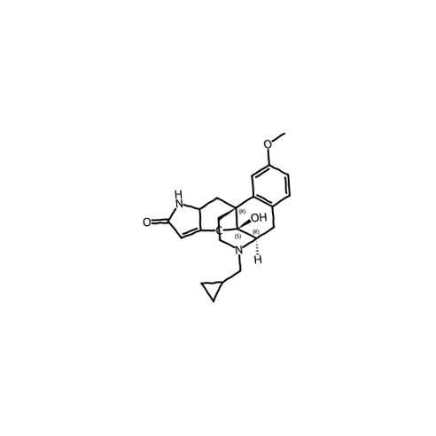 COc1ccc2c(c1)[C@]13CCN(CC4CC4)[C@H](C2)[C@]1(O)CC1=CC(=O)NC1C3